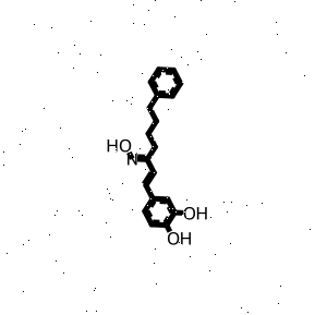 ON=C(C=Cc1ccc(O)c(O)c1)CCCCc1ccccc1